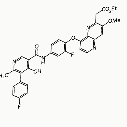 CCOC(=O)Cc1nc2c(Oc3ccc(NC(=O)c4cnc(C)c(-c5ccc(F)cc5)c4O)cc3F)ccnc2cc1OC